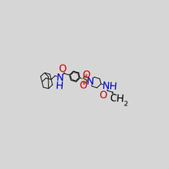 C=CC(=O)NC1CCN(S(=O)(=O)c2ccc(C(=O)NCC34CC5CC(CC(C5)C3)C4)cc2)CC1